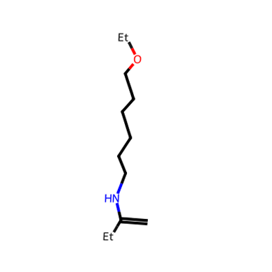 C=C(CC)NCCCCCCOCC